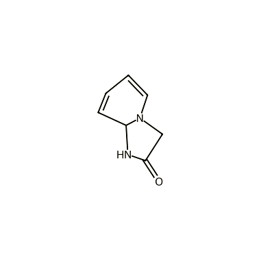 O=C1CN2C=CC=CC2N1